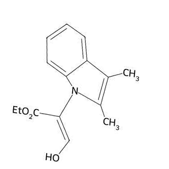 CCOC(=O)C(=CO)n1c(C)c(C)c2ccccc21